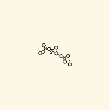 C1=CC2=C(CCc3ccccc32)[C@H](N(c2ccccc2)c2ccc(-c3ccc4c(c3)c3ccccc3c3c5ccc(N(c6ccccc6)c6ccc7ccccc7c6)cc5sc43)cc2)C1